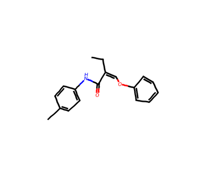 CCC(=COc1ccccc1)C(=O)Nc1ccc(C)cc1